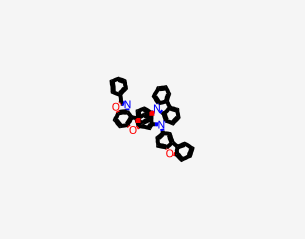 c1ccc(-c2nc3c(ccc4oc5cc(N(c6ccc7oc8ccccc8c7c6)c6cccc7c8ccccc8n(-c8ccccc8)c67)ccc5c43)o2)cc1